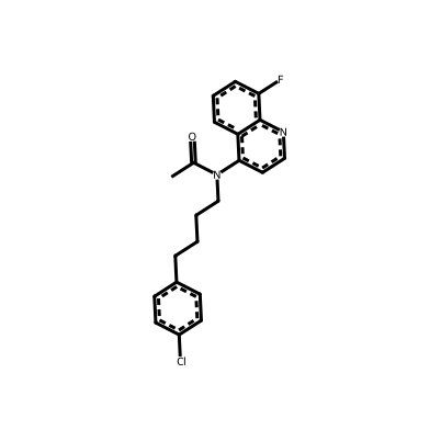 CC(=O)N(CCCCc1ccc(Cl)cc1)c1ccnc2c(F)cccc12